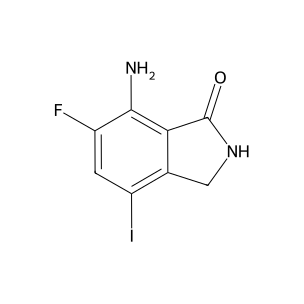 Nc1c(F)cc(I)c2c1C(=O)NC2